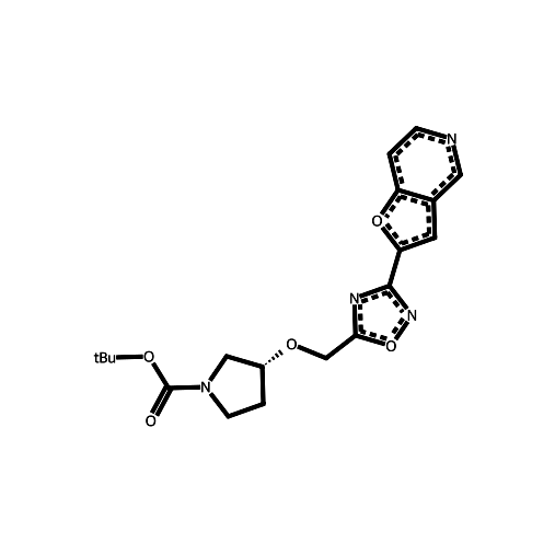 CC(C)(C)OC(=O)N1CC[C@@H](OCc2nc(-c3cc4cnccc4o3)no2)C1